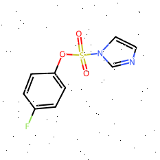 O=S(=O)(Oc1ccc(F)cc1)n1ccnc1